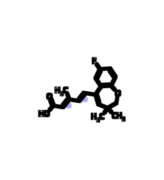 CC(/C=C/C1=CC(C)(C)COc2ccc(F)cc21)=C\C(=O)O